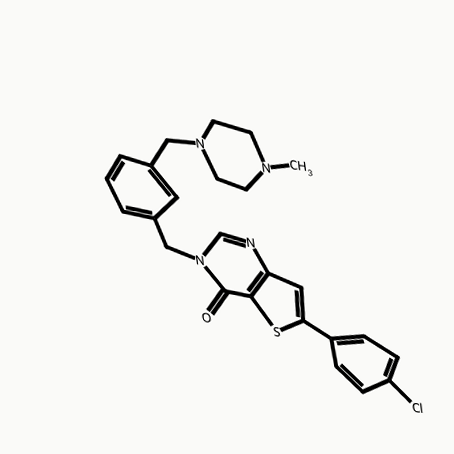 CN1CCN(Cc2cccc(Cn3cnc4cc(-c5ccc(Cl)cc5)sc4c3=O)c2)CC1